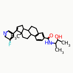 CC(O)C(C)NC(=O)c1ccc2c(c1)CCC1C2CCC2(C)C(c3cncc(F)c3)=CCC12